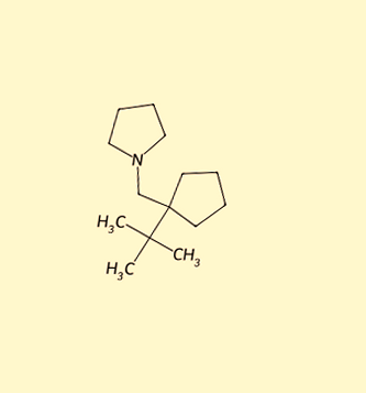 CC(C)(C)C1(CN2CCCC2)CCCC1